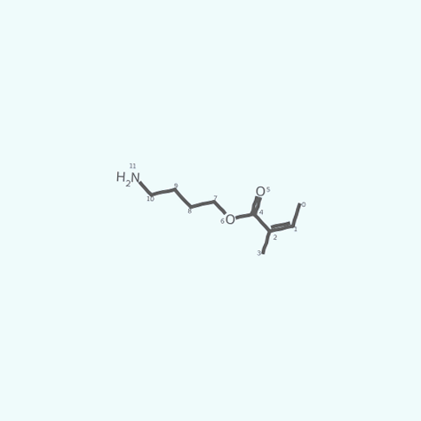 CC=C(C)C(=O)OCCCCN